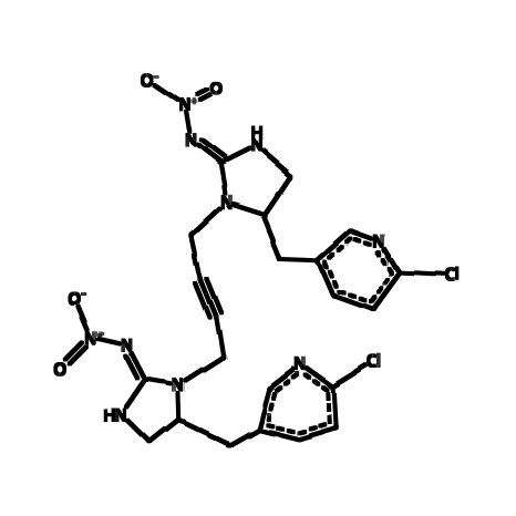 O=[N+]([O-])N=C1NCC(Cc2ccc(Cl)nc2)N1CC#CCN1C(=N[N+](=O)[O-])NCC1Cc1ccc(Cl)nc1